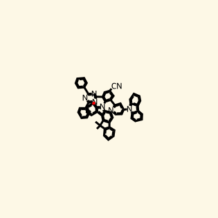 CC1(C)c2ccccc2-c2ccc3c(c21)c1ccccc1n3-c1c(-c2cc(-n3c4ccccc4c4ccccc43)ccn2)cc(C#N)cc1-c1nc(-c2ccccc2)nc(-c2ccccc2)n1